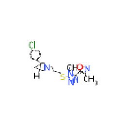 Cc1ncoc1-c1nnc(SCCCN2C[C@@H]3C[C@]3(c3ccc(Cl)cc3)C2)n1C